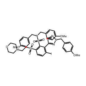 COc1ccc(CN(Cc2ccc(OC)cc2)S(=O)(=O)c2c(S(=O)(=O)CCN3CCOCC3)ccc(I)c2-c2nnn(Cc3ccc(OC)cc3)n2)cc1